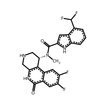 CN(C(=O)c1cc2c(C(F)F)cccc2[nH]1)[C@H]1CNCc2[nH]c(=O)c3cc(F)c(F)cc3c21